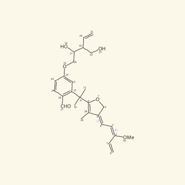 C=C/C(=C\C=C1/COC(C(C)(C)c2cc(OCC(O)C(C=C)CO)ccc2C=O)=C1C)OC